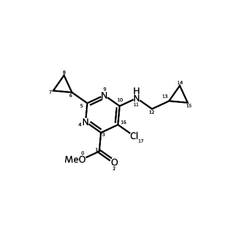 COC(=O)c1nc(C2CC2)nc(NCC2CC2)c1Cl